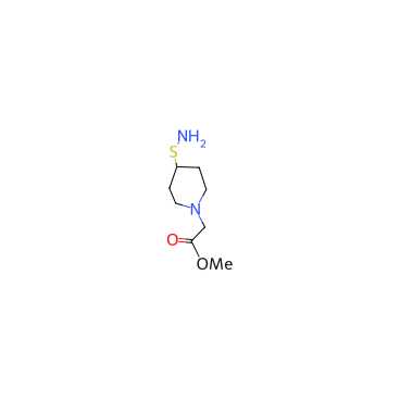 COC(=O)CN1CCC(SN)CC1